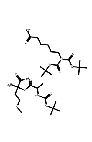 CC(C)(C)OC(=O)N(CCCCCC(=O)O)C(=O)OC(C)(C)C.CSCCC(N)([Se]C(=O)C(C)NC(=O)OC(C)(C)C)C(=O)O